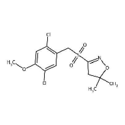 COc1cc(Cl)c(CS(=O)(=O)C2=NOC(C)(C)C2)cc1Cl